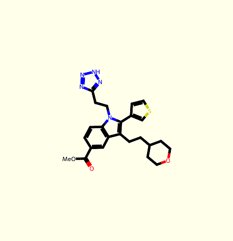 COC(=O)c1ccc2c(c1)c(CCC1CCOCC1)c(-c1ccsc1)n2CCc1nn[nH]n1